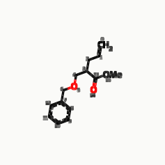 C=CCC(COCc1ccccc1)C(=O)OC